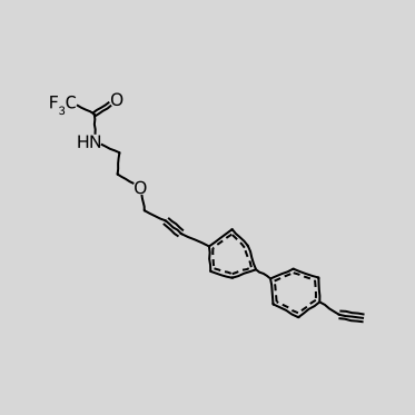 C#Cc1ccc(-c2ccc(C#CCOCCNC(=O)C(F)(F)F)cc2)cc1